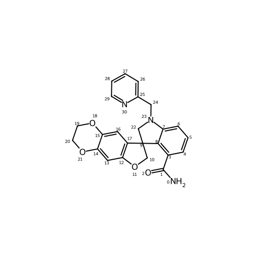 NC(=O)c1cccc2c1C1(COc3cc4c(cc31)OCCO4)CN2Cc1ccccn1